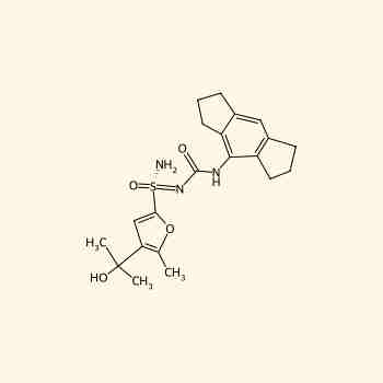 Cc1oc([S@@](N)(=O)=NC(=O)Nc2c3c(cc4c2CCC4)CCC3)cc1C(C)(C)O